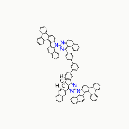 CC1(C)c2ccc(-c3cccc(-c4ccc(-c5nc(-n6c7ccc8c9ccccc9c9ccccc9c8c7c7ccc8ccccc8c76)nc6ccc7ccccc7c56)cc4)c3)cc2-c2nc(-n3c4ccc5c6ccccc6c6ccccc6c5c4c4ccc5ccccc5c43)nc(-c3ccc4ccccc4c3)c21